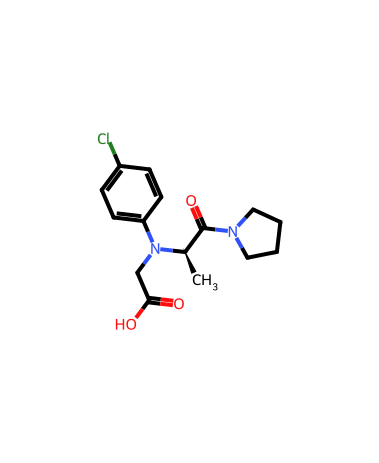 C[C@H](C(=O)N1CCCC1)N(CC(=O)O)c1ccc(Cl)cc1